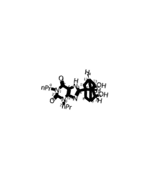 CCCn1c(=O)c2[nH]c(C34CC5C(O)[C@H](C[C@@H]3[C@H]5O)C4)nc2n(CCC)c1=O